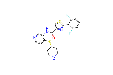 O=C(Nc1cnccc1SC1CCNCC1)c1csc(-c2c(F)cccc2F)n1